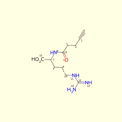 C#CCCC(=O)NC(CCCNC(=N)N)C(=O)O